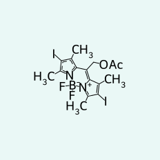 CC(=O)OCC1=C2C(C)=C(I)C(C)=[N+]2[B-](F)(F)n2c(C)c(I)c(C)c21